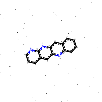 c1ccc2nc3cc4cccnc4nc3cc2c1